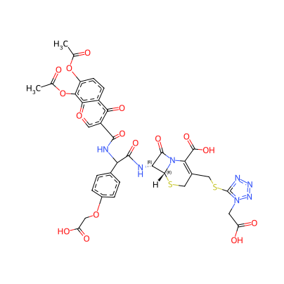 CC(=O)Oc1ccc2c(=O)c(C(=O)NC(C(=O)N[C@@H]3C(=O)N4C(C(=O)O)=C(CSc5nnnn5CC(=O)O)CS[C@H]34)c3ccc(OCC(=O)O)cc3)coc2c1OC(C)=O